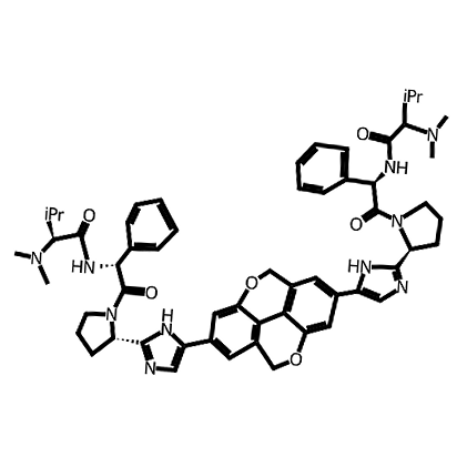 CC(C)C(C(=O)N[C@@H](C(=O)N1CCC[C@H]1c1ncc(-c2cc3c4c(c2)OCc2cc(-c5cnc([C@@H]6CCCN6C(=O)[C@H](NC(=O)[C@H](C(C)C)N(C)C)c6ccccc6)[nH]5)cc(c2-4)OC3)[nH]1)c1ccccc1)N(C)C